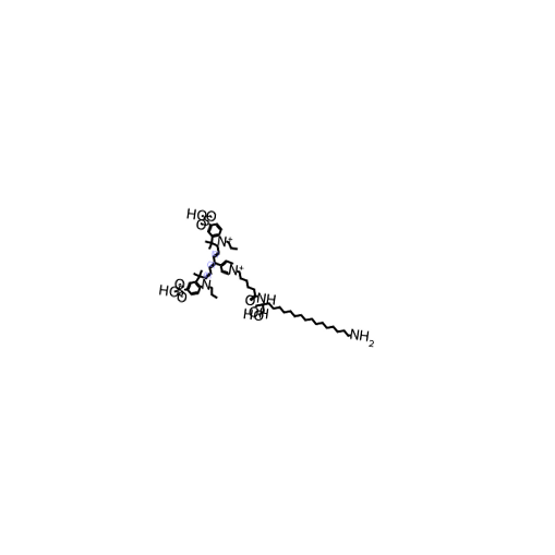 CCCN1/C(=C/C=C(/C=C/C2=[N+](CCC)c3ccc(S(=O)(=O)O)cc3C2(C)C)c2cc[n+](CCCCCC(=O)NC(CO)(CO)CCCCCCCCCCCCCCCCN)cc2)C(C)(C)c2cc(S(=O)(=O)O)ccc21